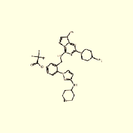 CC(C)n1cnc2c(NCc3ccccc3-n3ccc(NC4CCNCC4)n3)nc(N3CCC(N)CC3)nc21.O=C(O)C(F)(F)F